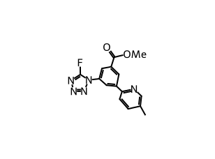 COC(=O)c1cc(-c2ccc(C)cn2)cc(-n2nnnc2F)c1